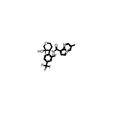 Cc1cnc2c(C(=O)N[C@@]3(c4ccc(C(F)(F)F)cc4F)CCOC[C@@]3(C)O)ccn2c1